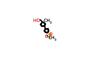 Cc1cc(-c2ccc(S(C)(=O)=O)cc2)ccc1CO